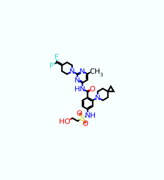 Cc1cc(NC(=O)c2ccc(NS(=O)(=O)CCO)cc2N2CCC3(CC2)CC3)nc(N2CCC(=C(F)F)CC2)n1